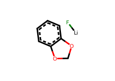 [Li][F].c1ccc2c(c1)OCO2